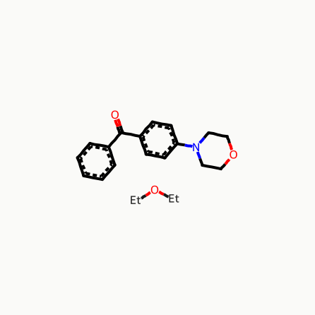 CCOCC.O=C(c1ccccc1)c1ccc(N2CCOCC2)cc1